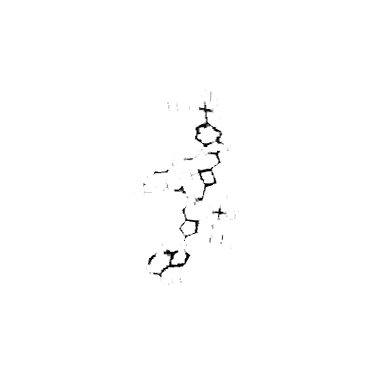 CC(C)N(CC1CC(Cc2nc3cc(C(C)(C)C)ccc3n2COCCS(C)(C)C)C1)CC1CC(n2ccc3c(N)ncnc32)C[C@@H]1OC(C)(C)O